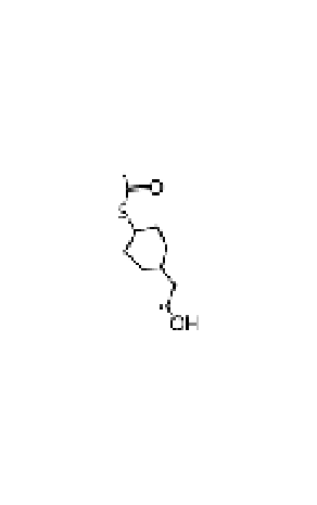 CC(=O)SC1CCC(C[C]O)CC1